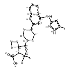 Cc1cc(Nc2nc(N3CCN(C(=O)C4(N(C(=O)O)C(C)(C)C)CCC4)CC3)nn3cccc23)n[nH]1